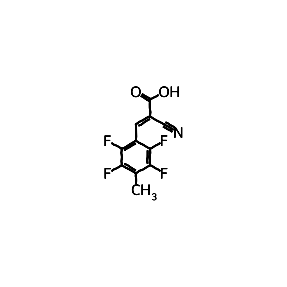 Cc1c(F)c(F)c(/C=C(\C#N)C(=O)O)c(F)c1F